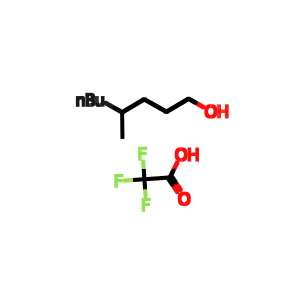 CCCCC(C)CCCO.O=C(O)C(F)(F)F